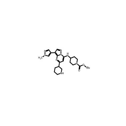 Cn1cc(-c2cnn3c(NC4CCN(C(=O)OC(C)(C)C)CC4)cc(C4CCCNC4)nc23)cn1